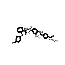 O=C(NO)c1ccc(CNc2ccc(S(=O)(=O)NC(=O)c3ccccc3Oc3ccc(Cl)cc3)cc2[N+](=O)[O-])cc1